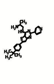 C[C@H](N)CNc1nc(-c2ccncc2)nc2cc(-c3ccc(C(C)(C)C)cc3)sc12